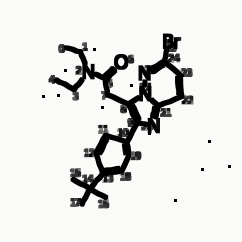 CCN(CC)C(=O)Cc1c(-c2ccc(C(C)(C)C)cc2)nc2ccc(Br)nn12